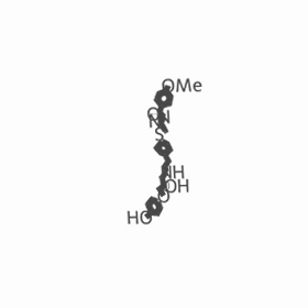 COc1ccc(-c2nc(CSc3ccc(CCNC[C@@H](O)COc4ccc(O)cc4)cc3)no2)cc1